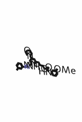 COc1cccc(NC(=O)OCCCc2cc(N3CCOCC3)cc(N/N=C/c3cccc(C)c3)n2)c1